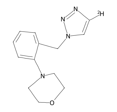 [2H]c1cn(Cc2ccccc2N2CCOCC2)nn1